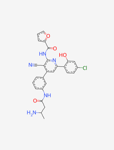 CC(N)CC(=O)Nc1cccc(-c2cc(-c3ccc(Cl)cc3O)nc(NC(=O)c3ccco3)c2C#N)c1